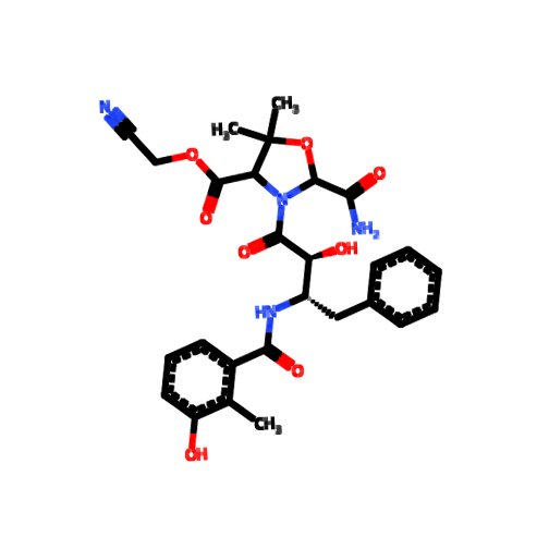 Cc1c(O)cccc1C(=O)N[C@@H](Cc1ccccc1)[C@H](O)C(=O)N1C(C(N)=O)OC(C)(C)C1C(=O)OCC#N